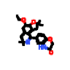 CCOc1cc2c(c3c1OC(C)(C)C3)C(c1ccc3c(c1)NC(=O)CO3)=NC(C)(C)C2